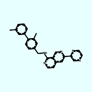 Cc1cccc(-c2ccc(CNc3nccc4cc(-c5cnccn5)ncc34)cc2C)c1